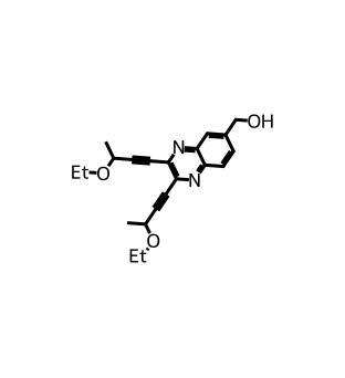 CCOC(C)C#Cc1nc2ccc(CO)cc2nc1C#CC(C)OCC